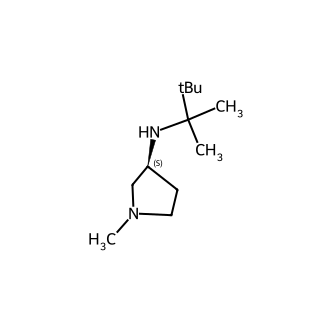 CN1CC[C@H](NC(C)(C)C(C)(C)C)C1